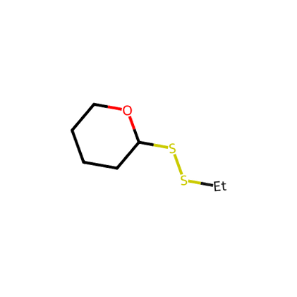 CCSSC1CCCCO1